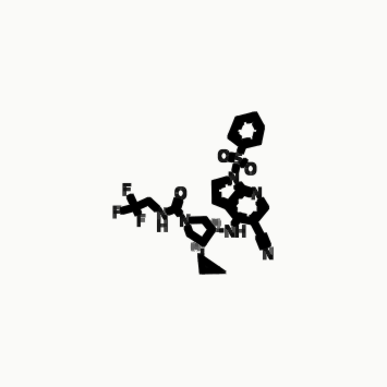 N#Cc1cnc2c(ccn2S(=O)(=O)c2ccccc2)c1N[C@H]1CN(C(=O)NCC(F)(F)F)C[C@H]1C1CC1